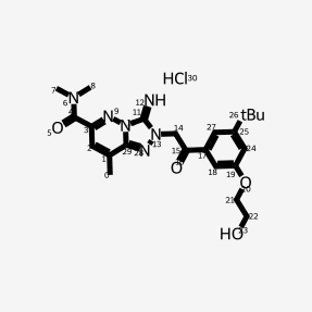 Cc1cc(C(=O)N(C)C)nn2c(=N)n(CC(=O)c3cc(OCCO)cc(C(C)(C)C)c3)nc12.Cl